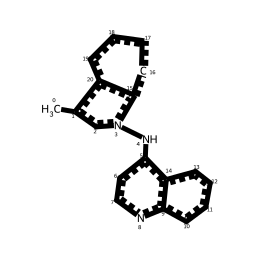 Cc1cn(Nc2ccnc3ccccc23)c2ccccc12